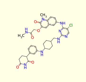 CNC(=O)COc1cc2cc(Nc3nc(NCC4CCC(Nc5cccc(C6CCC(=O)NC6=O)c5)CC4)ncc3Cl)ccc2n(C)c1=O